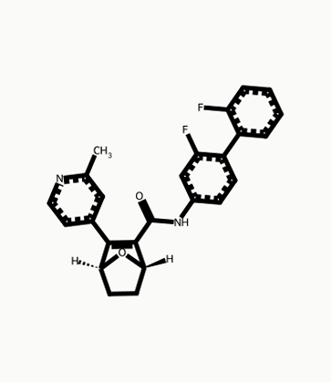 Cc1cc(C2=C(C(=O)Nc3ccc(-c4ccccc4F)c(F)c3)[C@@H]3CC[C@@H]2O3)ccn1